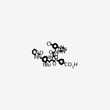 CC(C)(C)C(c1ccc(NC(=O)N2CCCCC2)cc1)C(NC(=O)C(=O)Nc1cc(Cl)ccc1-n1cnnn1)C(=O)Nc1ccc(C(=O)O)cc1